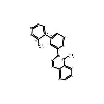 CNc1ccccc1/C=C\Cc1cccc(-c2ccccc2N)c1